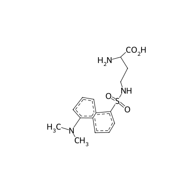 CN(C)c1cccc2c(S(=O)(=O)NCCC(N)C(=O)O)cccc12